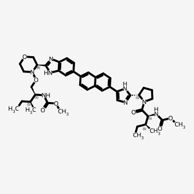 CC[C@H](C)[C@H](NC(=O)OC)C(=O)N1CCC[C@H]1c1ncc(-c2ccc3cc(-c4ccc5nc([C@@H]6COCCN6OC[C@@H](NC(=O)OC)[C@@H](C)CC)[nH]c5c4)ccc3c2)[nH]1